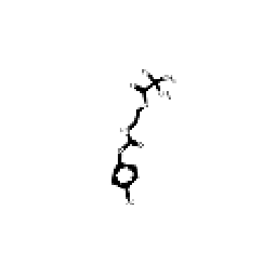 CCC(C)(C)C(=O)OCCNC(=O)Oc1ccc(C(C)=O)cc1